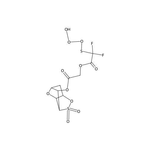 O=C(COC(=O)C(F)(F)SOOO)OC1C2CC3OS(=O)(=O)C1C3O2